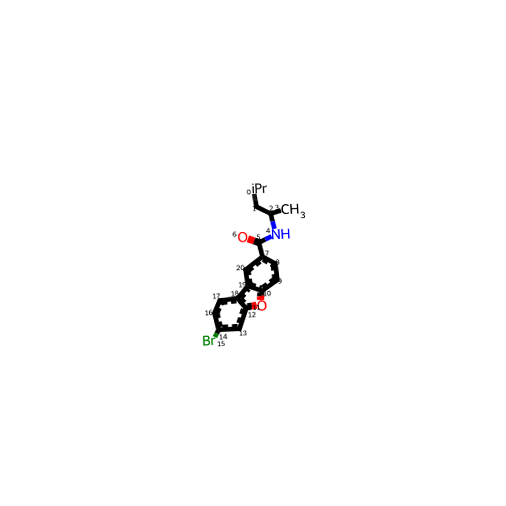 CC(C)CC(C)NC(=O)c1ccc2oc3cc(Br)ccc3c2c1